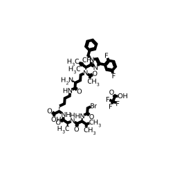 CC(=O)N(CC[C@H](N)C(=O)NCCCC[C@H](NC(=O)[C@H](C)NC(=O)[C@@H](NC(=O)CBr)C(C)C)C(=O)O)[C@@H](c1nc(-c2cc(F)ccc2F)cn1Cc1ccccc1)C(C)(C)C.O=C(O)C(F)(F)F